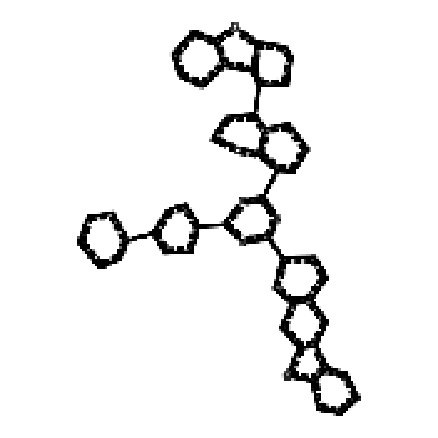 c1ccc(-c2ccc(-c3nc(-c4ccc5cc6c(cc5c4)oc4ccccc46)nc(-c4cccc5c(-c6cccc7oc8ccccc8c67)cccc45)n3)cc2)cc1